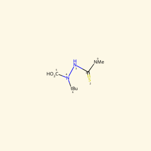 CNC(=S)NN(C(=O)O)C(C)(C)C